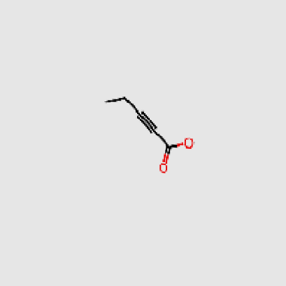 CCC#CC([O])=O